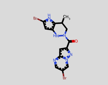 CC1CN(C(=O)c2cc3ncc(Br)cn3n2)Nc2cc(Br)[nH]c21